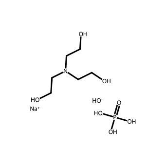 O=P(O)(O)O.OCCN(CCO)CCO.[Na+].[OH-]